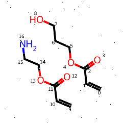 C=CC(=O)OCCCO.C=CC(=O)OCCN